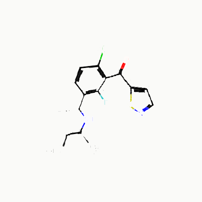 CC[C@@H](N[C@@H](C)CC=O)c1ccc(Cl)c(C(=O)c2ccns2)c1F